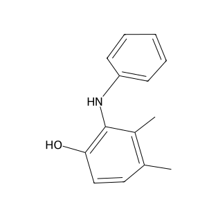 Cc1ccc(O)c(Nc2ccccc2)c1C